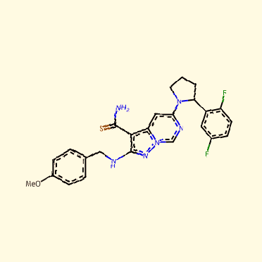 COc1ccc(CNc2nn3cnc(N4CCCC4c4cc(F)ccc4F)cc3c2C(N)=S)cc1